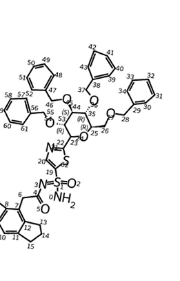 NS(=O)(=NC(=O)Cc1c2c(cc3c1CCC3)CCC2)c1cnc(C2O[C@H](COCc3ccccc3)[C@@H](OCc3ccccc3)[C@H](OCc3ccccc3)[C@H]2OCc2ccccc2)s1